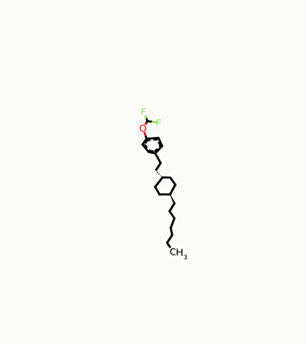 CCCCCCC[C@H]1CC[C@H](CCc2ccc(OC(F)F)cc2)CC1